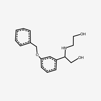 OCCNC(CO)c1cccc(OCc2ccccc2)c1